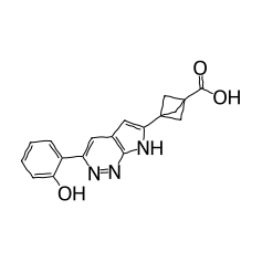 O=C(O)C12CC(c3cc4cc(-c5ccccc5O)nnc4[nH]3)(C1)C2